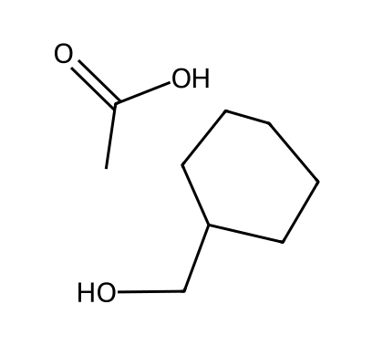 CC(=O)O.OCC1CCCCC1